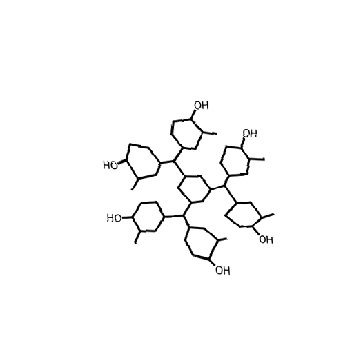 CC1CC(C(C2CCC(O)C(C)C2)C2CC(C(C3CCC(O)C(C)C3)C3CCC(O)C(C)C3)CC(C(C3CCC(O)C(C)C3)C3CCC(O)C(C)C3)C2)CCC1O